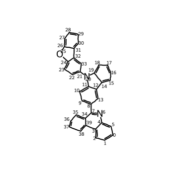 c1ccc2c(c1)nc(-c1ccc3c(c1)c1ccccc1n3-c1ccc3oc4ccccc4c3c1)c1ccccc12